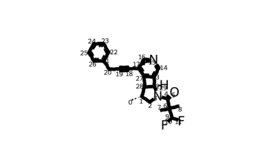 C[C@H]1CN(C(=O)C(C)(C)C(F)F)[C@@H]2c3cncc(C#CCc4ccccc4)c3C21